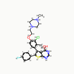 Cc1c(-c2c(-c3ccc(F)cc3)sc3ncnc(O)c23)ccc(OCCN2CCN(C)CC2)c1Cl